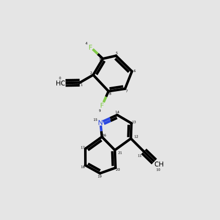 C#Cc1c(F)cccc1F.C#Cc1ccnc2ccccc12